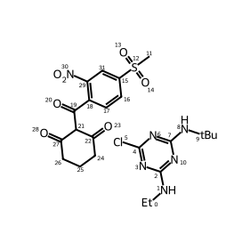 CCNc1nc(Cl)nc(NC(C)(C)C)n1.CS(=O)(=O)c1ccc(C(=O)C2C(=O)CCCC2=O)c([N+](=O)[O-])c1